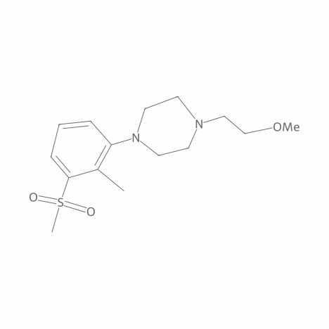 COCCN1CCN(c2cccc(S(C)(=O)=O)c2C)CC1